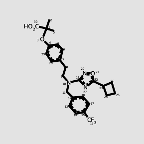 CC(C)(Oc1ccc(CCN(Cc2ccc(C(F)(F)F)cc2)c2noc(C3CCC3)n2)cc1)C(=O)O